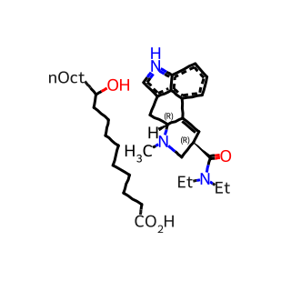 CCCCCCCCC(O)CCCCCCCCC(=O)O.CCN(CC)C(=O)[C@@H]1C=C2c3cccc4[nH]cc(c34)C[C@H]2N(C)C1